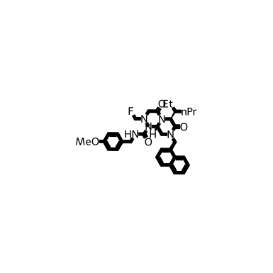 CCCC(CC)[C@H]1C(=O)N(Cc2cccc3ccccc23)C[C@H]2N1C(=O)CN(CF)N2C(=O)NCc1ccc(OC)cc1